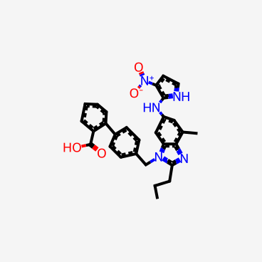 CCCc1nc2c(C)cc(Nc3[nH]ccc3[N+](=O)[O-])cc2n1Cc1ccc(-c2ccccc2C(=O)O)cc1